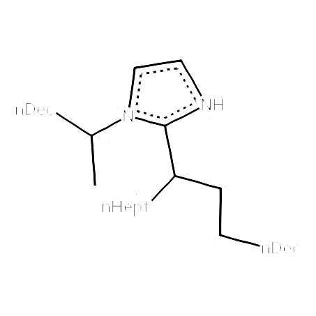 CCCCCCCCCCCCC(CCCCCCC)c1[nH]cc[n+]1C(C)CCCCCCCCCC